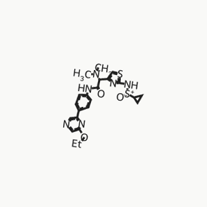 CCOc1cncc(-c2ccc(NC(=O)C(c3csc(N[S+]([O-])C4CC4)n3)N(C)C)cc2)n1